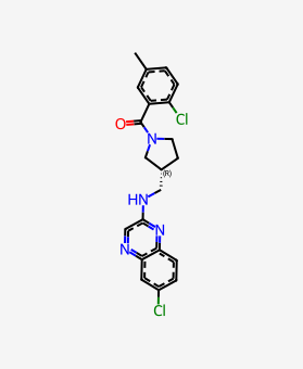 Cc1ccc(Cl)c(C(=O)N2CC[C@H](CNc3cnc4cc(Cl)ccc4n3)C2)c1